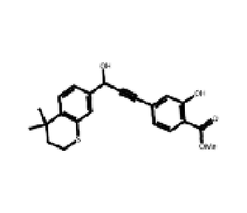 COC(=O)c1ccc(C#CC(O)c2ccc3c(c2)SCCC3(C)C)cc1O